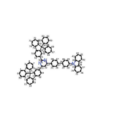 c1ccc(C2(c3ccccc3)c3ccccc3-c3ccc(-c4cc(-c5ccc(-c6ccc(-n7c8ccccc8c8ccccc87)cc6)cc5)nc(-c5ccc6c(c5)C(c5ccccc5)(c5ccccc5)c5ccccc5-6)n4)cc32)cc1